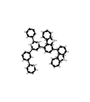 c1ccc(-c2nc(-c3cccc(-c4ccccn4)c3)cc(-c3ccc(-c4cccc5sc6ccccc6c45)c4oc5ccccc5c34)n2)cc1